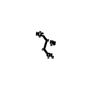 CCCC.[Hg]